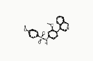 COc1ccc(S(=O)(=O)Nc2ccc(-c3cncc4ccccc34)c(OC)c2)cc1